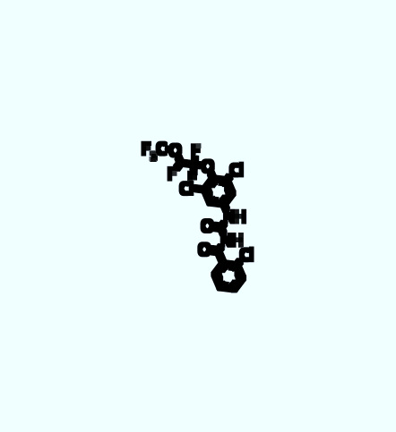 O=C(NC(=O)c1ccccc1Cl)Nc1cc(Cl)c(OC(F)(F)C(F)OC(F)(F)F)c(Cl)c1